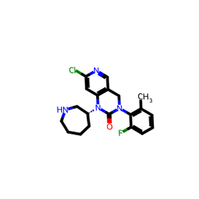 Cc1cccc(F)c1N1Cc2cnc(Cl)cc2N([C@@H]2CCCCNC2)C1=O